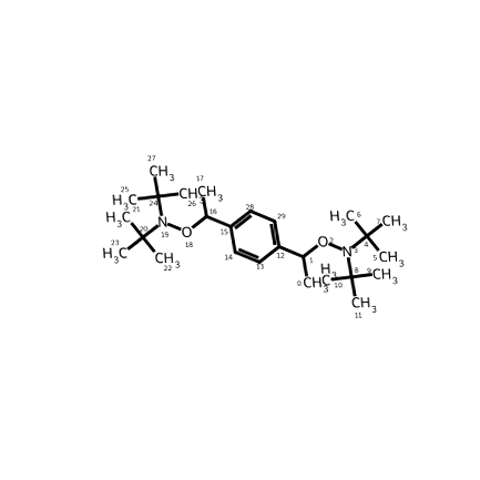 CC(ON(C(C)(C)C)C(C)(C)C)c1ccc(C(C)ON(C(C)(C)C)C(C)(C)C)cc1